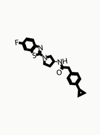 O=C(Cc1ccc(C2CC2)cc1)N[C@@H]1CCN(c2nc3ccc(F)cc3s2)C1